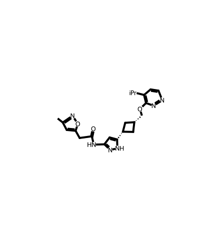 Cc1cc(CC(=O)Nc2cc([C@H]3C[C@@H](COc4nnccc4C(C)C)C3)[nH]n2)on1